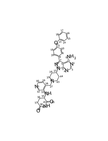 Nc1ncnc2c1c(-c1ccc(Oc3ccccc3)cc1)nn2C1CCN(Cc2ccncc2NC2CCC(=O)NC2=O)CC1